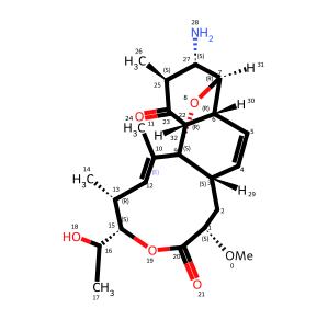 CO[C@H]1C[C@H]2C=C[C@H]3[C@H]4O[C@]2(/C(C)=C/[C@@H](C)[C@@H](C(C)O)OC1=O)[C@@H]3C(=O)[C@@H](C)[C@@H]4N